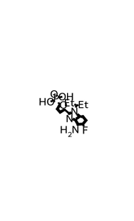 CCC(CC)n1c(-c2ccc(P(=O)(O)O)o2)nc2c(N)c(F)ccc21